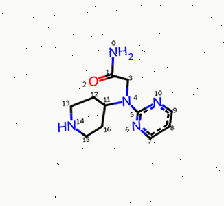 NC(=O)CN(c1ncccn1)C1CCNCC1